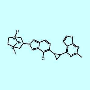 Cc1nc(C2CC2c2ccc3cn(C4C[C@H]5CC[C@@H](C4)N5)nc3c2Cl)c2ccsc2n1